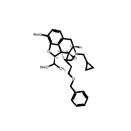 CC[C@]1(CCCOCc2ccccc2)[C@@H]2Cc3ccc(OC)c4c3[C@]1(CCN2CC1CC1)[C@@H](C(C)OC)O4